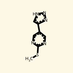 CSc1ncc(-c2c[nH]nn2)cn1